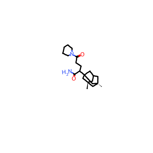 C[C@]12CC3CC(C(CCC(=O)N4CCCCC4)C(N)=O)(C1)C[C@@](C)(C3)C2